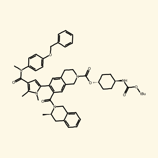 Cc1c(C(=O)N(C)c2ccc(OCc3ccccc3)cc2)cc(-c2cc3c(cc2C(=O)N2Cc4ccccc4C[C@H]2C)CN(C(=O)O[C@H]2CC[C@H](NC(=O)OC(C)(C)C)CC2)CC3)n1C